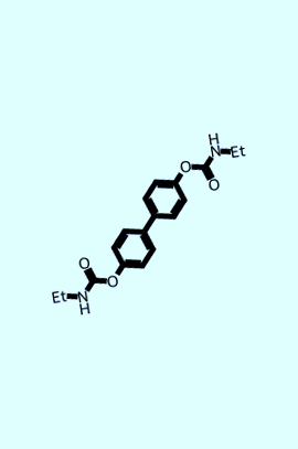 CCNC(=O)Oc1ccc(-c2ccc(OC(=O)NCC)cc2)cc1